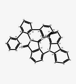 O=C1c2cccc(-n3c4ccccc4c4ccccc43)c2C(=O)N1c1c(-c2ccccc2)cccc1-c1ccccc1